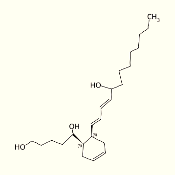 CCCCCCCCC(O)C=CC=C[C@H]1CC=CC[C@H]1C(O)CCCCO